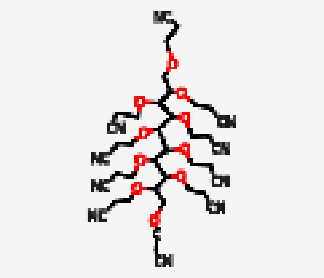 N#CCCOCC(OCCC#N)C(OCCC#N)C(OCCC#N)C(OCCC#N)C(OCCC#N)C(OCCC#N)C(OCCC#N)C(COCCC#N)OCCC#N